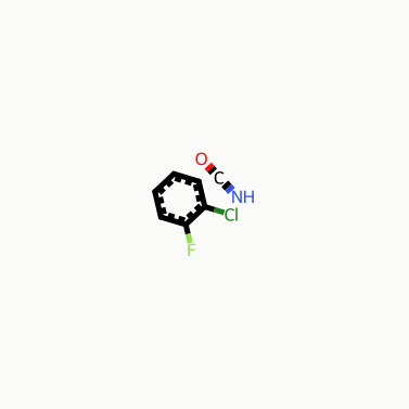 Fc1ccccc1Cl.N=C=O